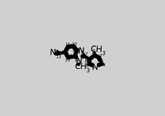 Cc1ccncc1-c1nc2ccc(C#N)cc2n1C